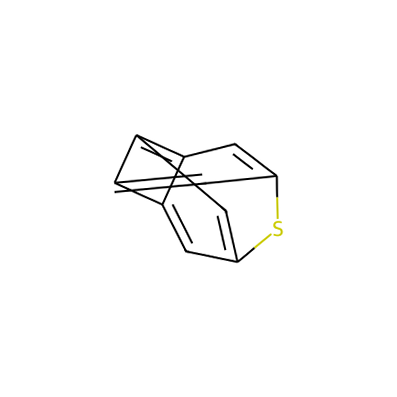 c1c2cc3c4cc(cc3c14)s2